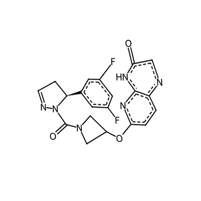 O=C(N1CC(Oc2ccc3ncc(=O)[nH]c3n2)C1)N1N=CC[C@H]1c1cc(F)cc(F)c1